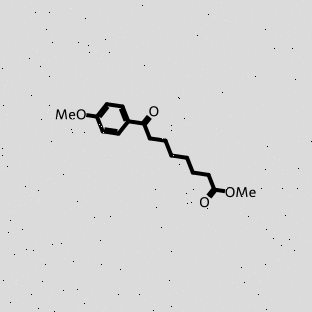 COC(=O)CCCCCCC(=O)c1ccc(OC)cc1